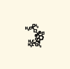 CN(C)C1CC(S(=O)(=O)c2c(Cl)ccc3nc(C(C)(C)C)oc23)C1